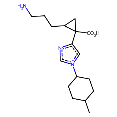 CC1CCC(n2cnc(C3(C(=O)O)CC3CCCN)c2)CC1